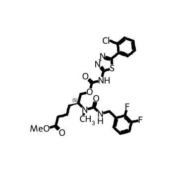 COC(=O)CCC[C@@H](COC(=O)Nc1nnc(-c2ccccc2Cl)s1)N(C)C(=O)NCc1cccc(F)c1F